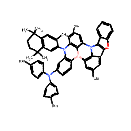 Cc1cc2c(cc1N1c3cc(N(c4ccc(C(C)(C)C)cc4)c4ccc(C(C)(C)C)cc4)ccc3B3c4c1cc(C(C)(C)C)cc4-n1c4c3cc(C(C)(C)C)cc4c3oc4ccccc4c31)C(C)(C)CCC2(C)C